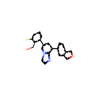 OCc1c(F)cccc1-c1cc(-c2ccc3cocc3c2)c2nccn2c1